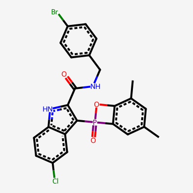 Cc1cc(C)c2c(c1)P(=O)(c1c(C(=O)NCc3ccc(Br)cc3)[nH]c3ccc(Cl)cc13)O2